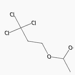 CC([O])OCCC(Cl)(Cl)Cl